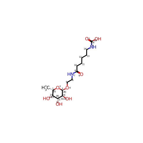 C[C@@H]1O[C@@H](OCCNC(=O)CCCCCNC(=O)O)[C@@H](O)[C@H](O)[C@@H]1O